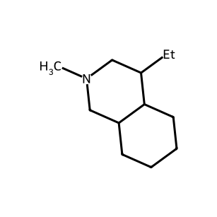 CCC1CN(C)CC2CCCCC12